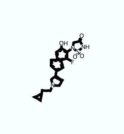 O=C1CN(c2c(O)cc3ccc(C4=CCN(CCC5CC5)C4)cc3c2F)S(=O)(=O)N1